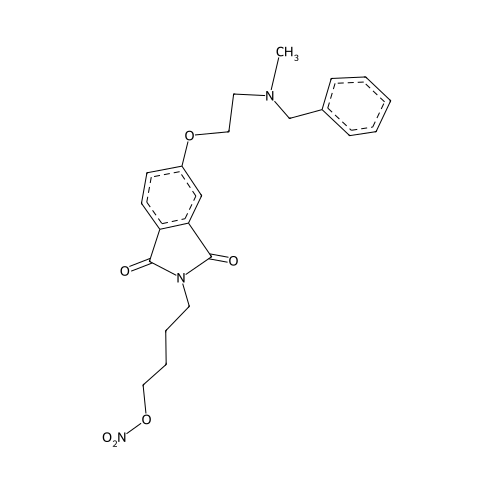 CN(CCOc1ccc2c(c1)C(=O)N(CCCCO[N+](=O)[O-])C2=O)Cc1ccccc1